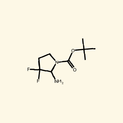 CC(C)(C)OC(=O)N1CCC(F)(F)C1N